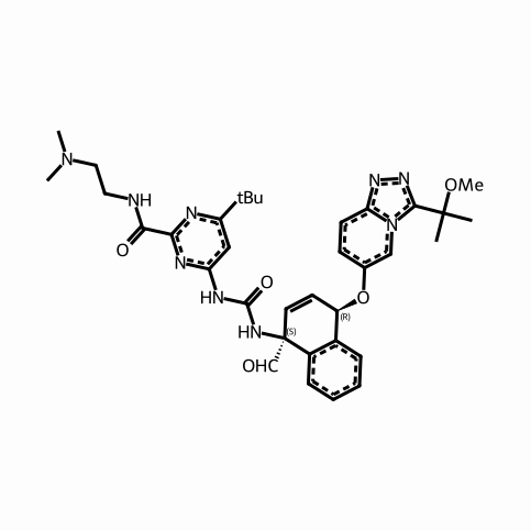 COC(C)(C)c1nnc2ccc(O[C@@H]3C=C[C@](C=O)(NC(=O)Nc4cc(C(C)(C)C)nc(C(=O)NCCN(C)C)n4)c4ccccc43)cn12